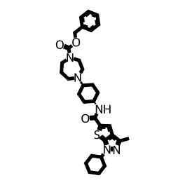 Cc1nn(C2CCCCC2)c2sc(C(=O)N[C@H]3CC[C@H](N4CCCN(C(=O)OCc5ccccc5)CC4)CC3)cc12